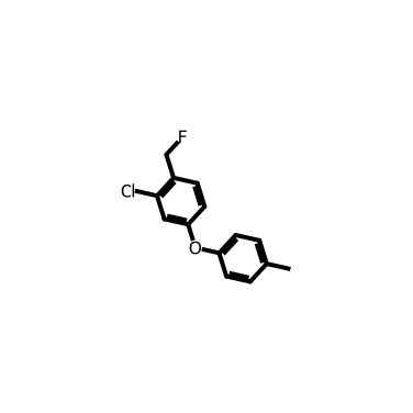 Cc1ccc(Oc2ccc(CF)c(Cl)c2)cc1